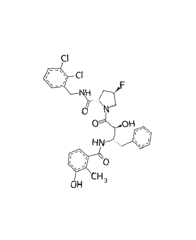 Cc1c(O)cccc1C(=O)N[C@@H](Cc1ccccc1)[C@H](O)C(=O)N1C[C@H](F)C[C@H]1C(=O)NCc1cccc(Cl)c1Cl